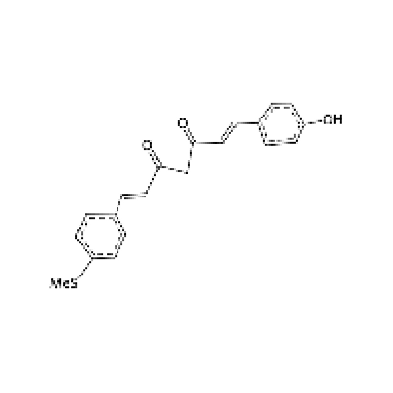 CSc1ccc(/C=C/C(=O)CC(=O)/C=C/c2ccc(O)cc2)cc1